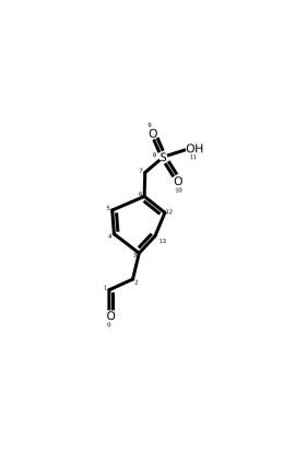 O=[C]Cc1ccc(CS(=O)(=O)O)cc1